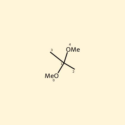 [CH2]OC(C)(C)OC